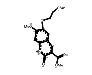 COCCOc1cc2cc(C(=O)OC)c(=O)[nH]c2cc1OC